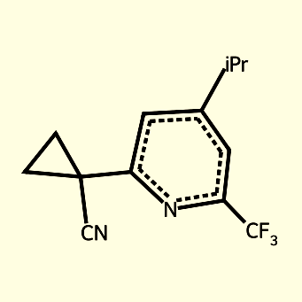 CC(C)c1cc(C(F)(F)F)nc(C2(C#N)CC2)c1